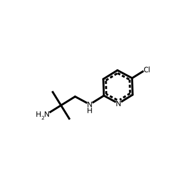 CC(C)(N)CNc1ccc(Cl)cn1